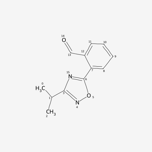 CC(C)c1noc(-c2ccccc2C=O)n1